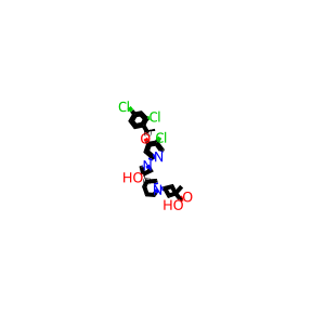 C[C@@H](Oc1cc(N2CC(O)([C@H]3CCCN(C4CC(C)(C(=O)O)C4)C3)C2)ncc1Cl)c1ccc(Cl)cc1Cl